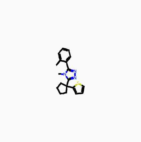 Cc1ccccc1-c1nnc(C2(c3cccs3)CCCC2)n1C